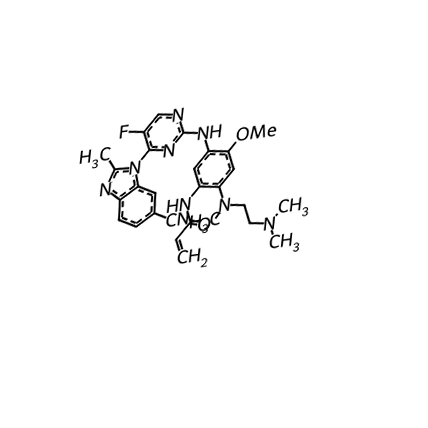 C=CC(=O)Nc1cc(Nc2ncc(F)c(-n3c(C)nc4ccc(C#N)cc43)n2)c(OC)cc1N(C)CCN(C)C